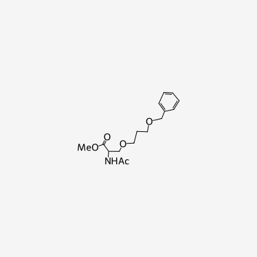 COC(=O)C(COCCCOCc1ccccc1)NC(C)=O